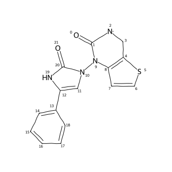 O=C1[N]Cc2sccc2N1n1cc(-c2ccccc2)[nH]c1=O